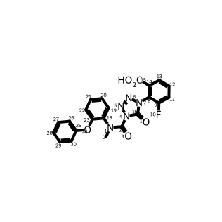 CN(C(=O)n1nnn(-c2c(F)cccc2C(=O)O)c1=O)c1ccccc1Oc1ccccc1